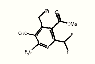 COC(=O)c1c(C(F)F)nc(C(F)(F)F)c(C=O)c1CC(C)C